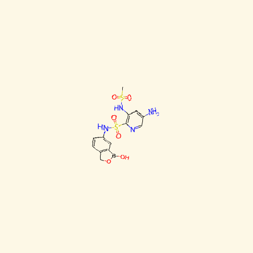 CS(=O)(=O)Nc1cc(N)cnc1S(=O)(=O)Nc1ccc2c(c1)B(O)OC2